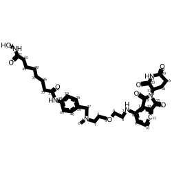 CN(CCOCCNc1cccc2c1C(=O)N(C1CCC(=O)NC1=O)C2=O)Cc1ccc(NC(=O)CCCCCCC(=O)NO)cc1